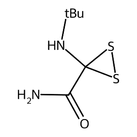 CC(C)(C)NC1(C(N)=O)SS1